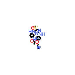 C=CC(=O)Nc1cccc(Nc2nc(Nc3ccc(OCCN(C)C)cc3)ncc2[S+](C)[O-])c1